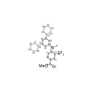 COC(=O)c1ccc(N(C)c2cc(C3CCCCC3)cc(C3CCCCC3)c2)c(C(F)(F)F)c1